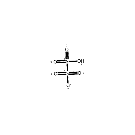 O=S(=O)(O)[S](=O)(=O)[Cr]